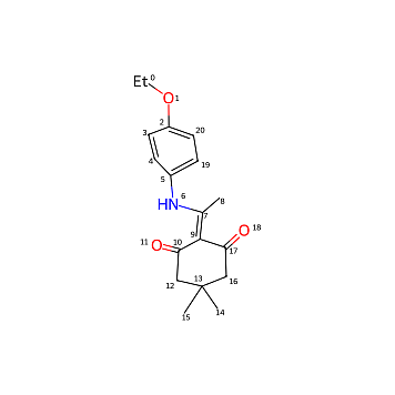 CCOc1ccc(NC(C)=C2C(=O)CC(C)(C)CC2=O)cc1